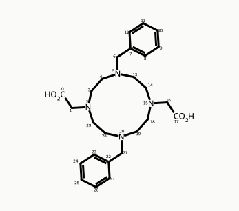 O=C(O)CN1CCN(Cc2ccccc2)CCN(CC(=O)O)CCN(Cc2ccccc2)CC1